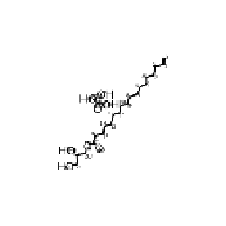 CCCCCCCCCCCCCCCCCC(=O)OCC(O)CO.O=P(O)(O)O